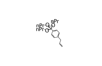 C=CCc1ccc([Si](OCCC)(OCCC)OCCC)cc1